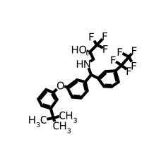 CC(C)(C)c1cccc(Oc2cccc(C(NC[C@@H](O)C(F)(F)F)c3cccc(C(F)(F)C(F)(F)F)c3)c2)c1